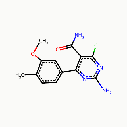 COc1cc(-c2nc(N)nc(Cl)c2C(N)=O)ccc1C